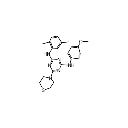 COc1ccc(Nc2nc(Nc3cc(C)ccc3C)nc(N3CCSCC3)n2)cc1